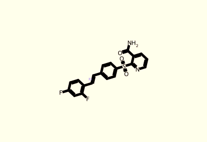 NC(=O)c1cccnc1S(=O)(=O)c1ccc(/C=C/c2ccc(F)cc2F)cc1